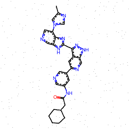 Cc1cn(-c2cncc3[nH]c(-c4n[nH]c5cnc(-c6cncc(NC(=O)CC7CCCCC7)c6)cc45)nc23)cn1